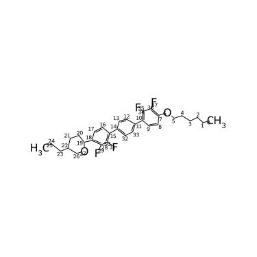 CCCCCCOc1ccc(-c2ccc(-c3ccc(C4CCC(CCC)CO4)c(F)c3F)cc2)c(F)c1F